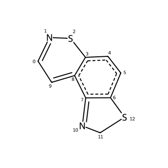 C1=NSc2ccc3c(c2=C1)=NCS3